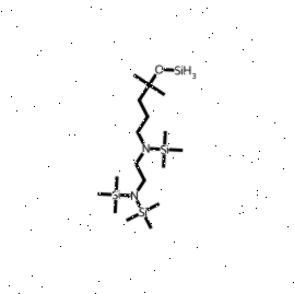 CC(C)(CCCN(CCN([Si](C)(C)C)[Si](C)(C)C)[Si](C)(C)C)O[SiH3]